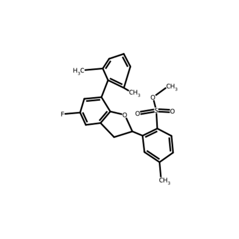 COS(=O)(=O)c1ccc(C)cc1C1Cc2cc(F)cc(-c3c(C)cccc3C)c2O1